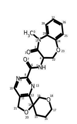 CN1C(=O)C(NC(=O)c2ncc3c(n2)C2(CCCOC2)OC3)COc2ccccc21